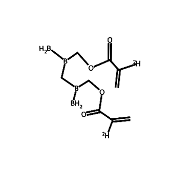 [2H]C(=C)C(=O)OCB(B)CB(B)COC(=O)C([2H])=C